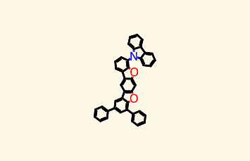 c1ccc(-c2cc(-c3ccccc3)c3oc4cc5oc6c(-n7c8ccccc8c8ccccc87)cccc6c5cc4c3c2)cc1